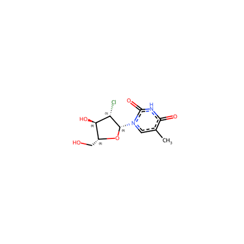 Cc1cn([C@@H]2O[C@H](CO)[C@@H](O)[C@@H]2Cl)c(=O)[nH]c1=O